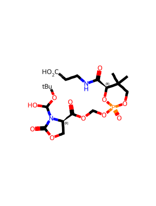 CC(C)(C)OC(O)N1C(=O)OC[C@@H]1C(=O)OCOP1(=O)OCC(C)(C)[C@H](C(=O)NCCC(=O)O)O1